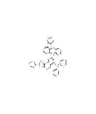 c1ccc(-c2nc3c(ccc4c(N(c5ccccc5)c5ccccc5)cc(N(c5ccccc5)c5cccc6c5sc5ccccc56)cc43)o2)cc1